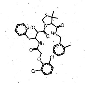 Cc1ccccc1CNC(=O)C1N(C(=O)C(O)C(Cc2ccccc2)NC(=O)COc2c(Cl)cccc2Cl)CSC1(C)C